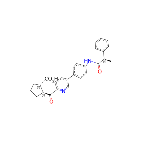 C[C@@H](C(=O)Nc1ccc(-c2ccc(C(=O)[C@H]3CCC[C@@H]3C(=O)O)nc2)cc1)c1ccccc1